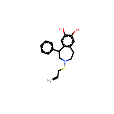 C=CCSN1CCc2cc(O)c(O)cc2C(c2ccccc2)C1